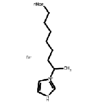 CCCCCCCCCCCCCCCC(C)[n+]1cc[nH]c1.[Br-]